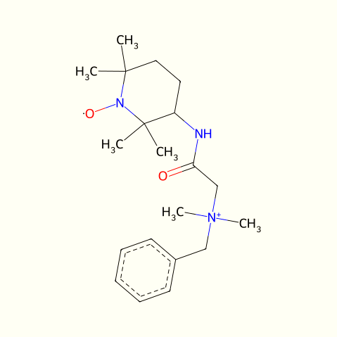 CC1(C)CCC(NC(=O)C[N+](C)(C)Cc2ccccc2)C(C)(C)N1[O]